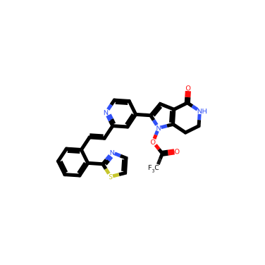 O=C1NCCc2c1cc(-c1ccnc(C=Cc3ccccc3-c3nccs3)c1)n2OC(=O)C(F)(F)F